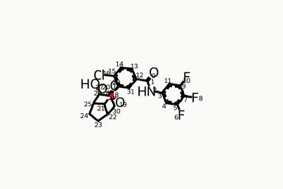 O=C(Nc1cc(F)c(F)c(F)c1)c1ccc(Cl)c(S(=O)(=O)C2C3CCC2[C@H](O)C(=O)C3)c1